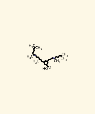 C=C(CC/C=C(\C)CCC=C(C)C)CCC1C=C(CC/C=C(\C)CCC=C(C)C)CC(C(=O)O)C1